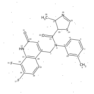 Cc1cccc(N(Cc2cc(=O)[nH]c3c(F)c(F)ccc23)C(=O)C2SC=NC2C)c1